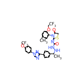 Cc1ccc(OCC(F)(F)F)c(N2C(=O)CS/C2=N\C(=O)NNC(C)c2ccc(-c3ncn(-c4ccc(OC(F)(F)F)cc4)n3)cc2)c1